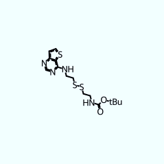 CC(C)(C)OC(=O)NCCSSCCNc1ncnc2ccsc12